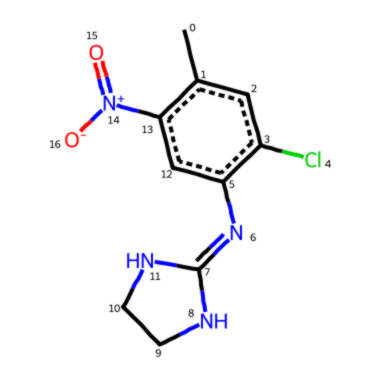 Cc1cc(Cl)c(N=C2NCCN2)cc1[N+](=O)[O-]